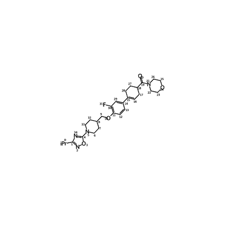 CC(C)c1noc(N2CCC(COc3ccc(C4=CCC(C(=O)N5CCOCC5)CC4)cc3F)CC2)n1